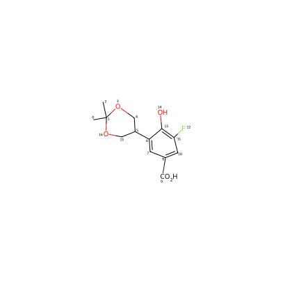 CC1(C)OCC(c2cc(C(=O)O)cc(F)c2O)CO1